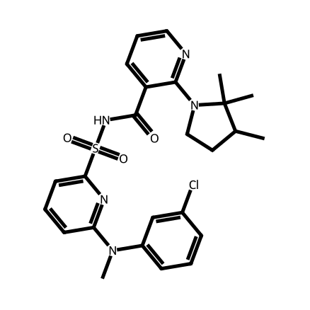 CC1CCN(c2ncccc2C(=O)NS(=O)(=O)c2cccc(N(C)c3cccc(Cl)c3)n2)C1(C)C